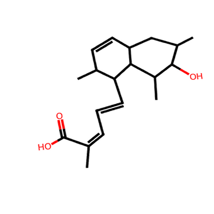 CC(=CC=CC1C(C)C=CC2CC(C)C(O)C(C)C21)C(=O)O